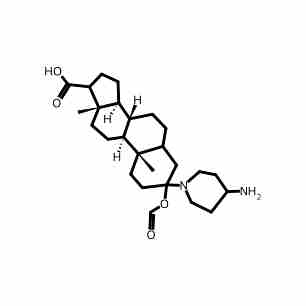 C[C@]12CCC(OC=O)(N3CCC(N)CC3)CC1CC[C@@H]1[C@@H]2CC[C@]2(C)C(C(=O)O)CC[C@@H]12